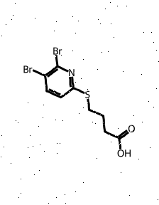 O=C(O)CCCSc1ccc(Br)c(Br)n1